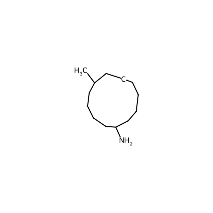 CC1CCCCCCC(N)CCCC1